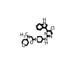 CN(CC(=O)N1CCC(Nc2ncc(Cl)c(-c3c[nH]c4ccccc34)n2)CC1)C1CCOCC1